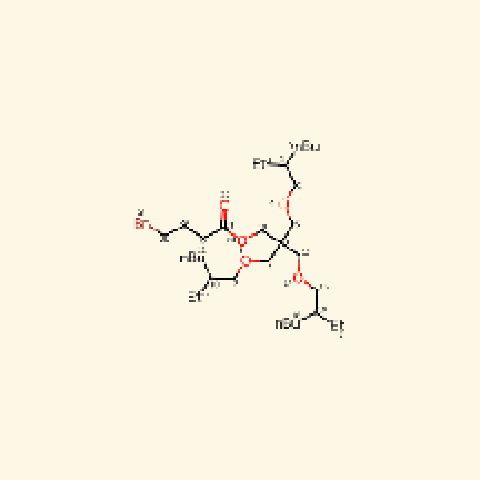 CCCCC(CC)COCC(COCC(CC)CCCC)(COCC(CC)CCCC)COC(=O)CCCBr